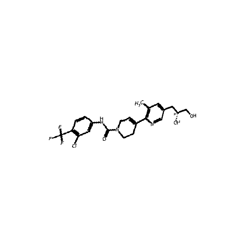 Cc1cc(C[C@@H](O)CO)cnc1C1=CCN(C(=O)Nc2ccc(C(F)(F)F)c(Cl)c2)CC1